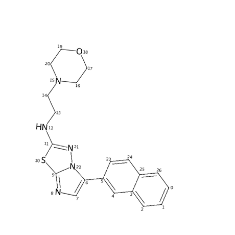 c1ccc2cc(-c3cnc4sc(NCCN5CCOCC5)nn34)ccc2c1